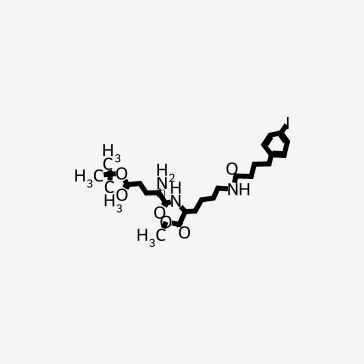 COC(=O)C(CCCCNC(=O)CCCc1ccc(I)cc1)NC(=O)[C@@H](N)CCC(=O)OC(C)(C)C